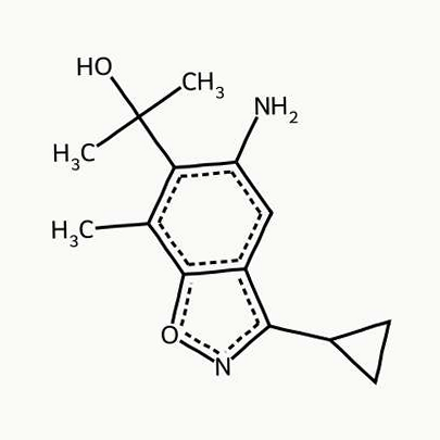 Cc1c(C(C)(C)O)c(N)cc2c(C3CC3)noc12